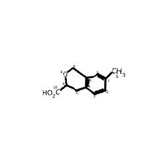 Cc1ccc2c(c1)COC(C(=O)O)C2